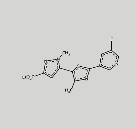 CCOC(=O)c1cc(-c2sc(-c3cncc(F)c3)nc2C)n(C)n1